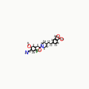 COc1cc(CC(=O)N2CCC(CCc3ccc4c(c3)COC4=O)CC2)c(F)cc1C#N